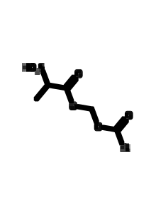 CCC(=O)OCOC(=O)C(C)S(=O)(=O)O